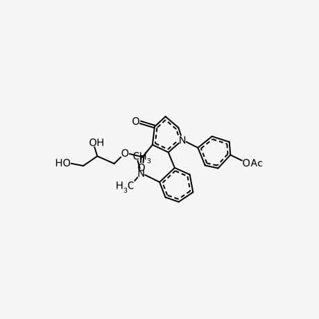 CC(=O)Oc1ccc(-n2ccc(=O)c(C(=O)OCC(O)CO)c2-c2ccccc2N(C)C)cc1